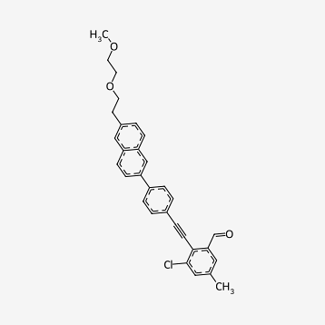 COCCOCCc1ccc2cc(-c3ccc(C#Cc4c(Cl)cc(C)cc4C=O)cc3)ccc2c1